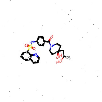 CC(O)CC1(O)CCN(C(=O)c2ccc(NS(=O)(=O)c3cccc4cccnc34)cc2)CC1